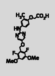 COc1cc(OC)c(F)c(COc2cnc(Nc3ccc(OCC(=O)O)c(C)c3)nc2)c1F